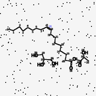 CCCCCCCC/C=C\CCCCCCCC(=O)OC(=O)C(C)O.OCC(O)CO